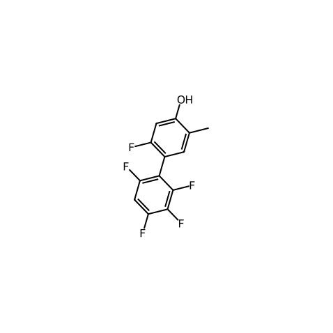 Cc1cc(-c2c(F)cc(F)c(F)c2F)c(F)cc1O